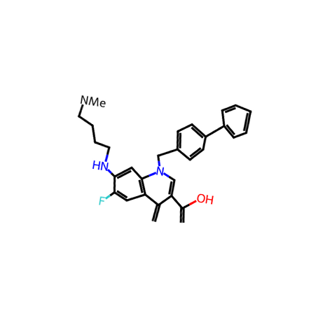 C=C(O)C1=CN(Cc2ccc(-c3ccccc3)cc2)c2cc(NCCCCNC)c(F)cc2C1=C